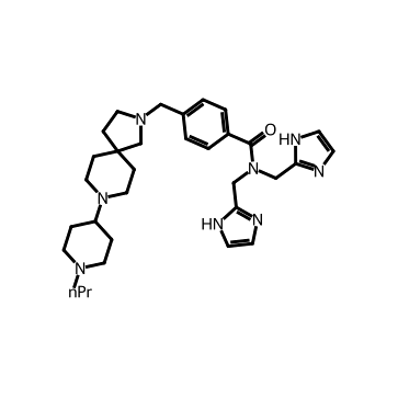 CCCN1CCC(N2CCC3(CCN(Cc4ccc(C(=O)N(Cc5ncc[nH]5)Cc5ncc[nH]5)cc4)C3)CC2)CC1